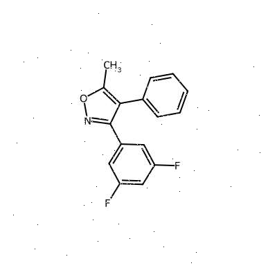 Cc1onc(-c2cc(F)cc(F)c2)c1-c1ccccc1